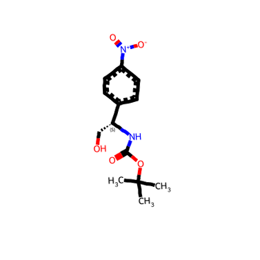 CC(C)(C)OC(=O)N[C@H](CO)c1ccc([N+](=O)[O-])cc1